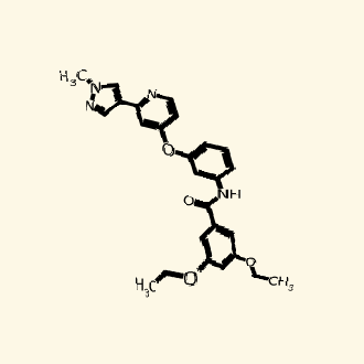 CCOc1cc(OCC)cc(C(=O)Nc2cccc(Oc3ccnc(-c4cnn(C)c4)c3)c2)c1